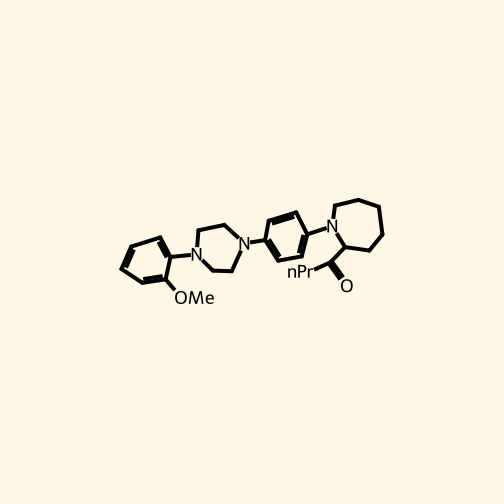 CCCC(=O)C1CCCCCN1c1ccc(N2CCN(c3ccccc3OC)CC2)cc1